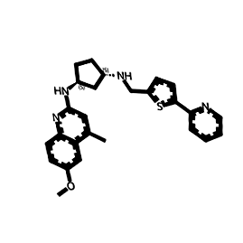 COc1ccc2nc(N[C@H]3CC[C@H](NCc4ccc(-c5ccccn5)s4)C3)cc(C)c2c1